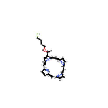 CC(OCCCCF)C1=CC2=CC3=NC(=CC4=NC(=CC5=NC(=CC1=N2)C=C5)C=C4)C=C3